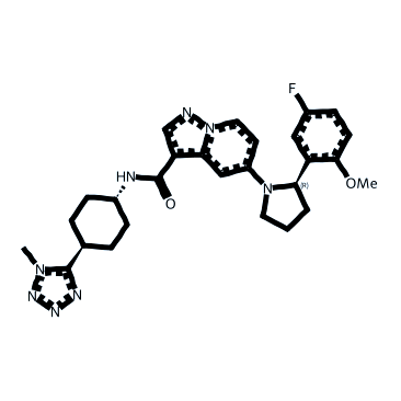 COc1ccc(F)cc1[C@H]1CCCN1c1ccn2ncc(C(=O)N[C@H]3CC[C@H](c4nnnn4C)CC3)c2c1